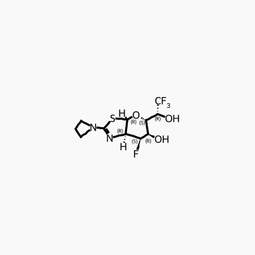 O[C@H]1[C@@H](F)[C@H]2N=C(N3CCC3)S[C@H]2O[C@@H]1[C@@H](O)C(F)(F)F